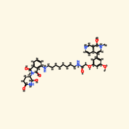 COc1cc(OCC(=O)NCCCCCCCCNc2cccc3c2C(=O)N(C2CCC(=O)NC2=O)C3=O)cc(-c2cn(C)c(=O)c3cnccc23)c1